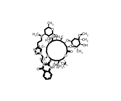 CC[C@H]1OC(=O)[C@H](C)[C@@H](O[C@H]2C[C@@](C)(OC)[C@@H](O)[C@H](C)O2)[C@H](C)[C@@H](O[C@@H]2O[C@H](C)C[C@H](N(C)CCc3cn(CCn4c(=O)[nH]c5ccccc5c4=O)nn3)[C@H]2O)[C@](C)(O)C[C@@H](C)CN(C)[C@H](C)[C@@H](O)[C@]1(C)O